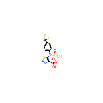 O=C(O)c1ncsc1N(c1ccc(C(F)(F)F)cc1)S(=O)(=O)O